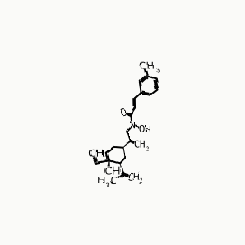 C=C[C@]1(C)CC[C@@H](C(=C)CN(O)C(=O)/C=C/c2cccc(C)c2)C[C@H]1C(=C)C